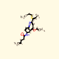 C=CCCC(=O)Nc1ccc2nc(/C(=C/C)S/C=C\C)cc(OCC)c2c1